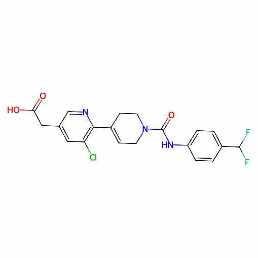 O=C(O)Cc1cnc(C2=CCN(C(=O)Nc3ccc(C(F)F)cc3)CC2)c(Cl)c1